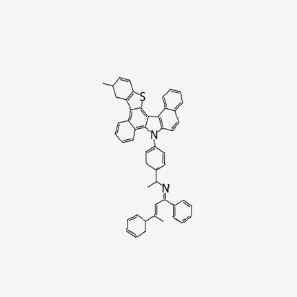 C/C(=C\C(=N/C(C)C1C=CC(n2c3ccc4ccccc4c3c3c4sc5c(c4c4ccccc4c32)CC(C)C=C5)=CC1)c1ccccc1)C1C=CC=CC1